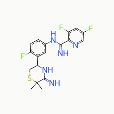 CC1(C)SCC(c2cc(NC(=N)c3ncc(F)cc3F)ccc2F)NC1=N